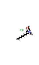 CCCCCCCCCC[N+](CC)(CC)CC1CO1.[Cl-]